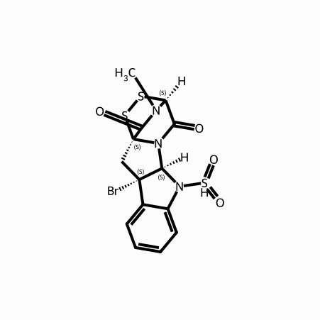 CN1C(=O)[C@@]23C[C@]4(Br)c5ccccc5N([SH](=O)=O)[C@@H]4N2C(=O)[C@@H]1SS3